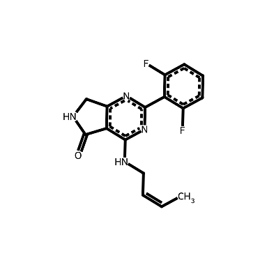 C/C=C\CNc1nc(-c2c(F)cccc2F)nc2c1C(=O)NC2